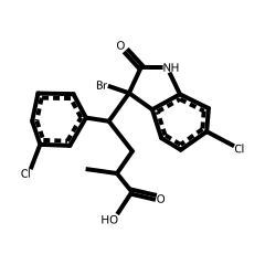 CC(CC(c1cccc(Cl)c1)C1(Br)C(=O)Nc2cc(Cl)ccc21)C(=O)O